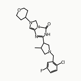 CC1CN(Cc2cc(F)ccc2Cl)CC1C1=NC2=CN(C3CCOCC3)CN2C(=O)N1